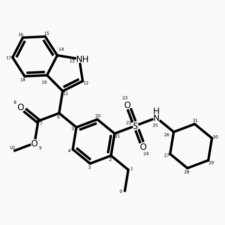 CCc1ccc(C(C(=O)OC)c2c[nH]c3ccccc23)cc1S(=O)(=O)NC1CCCCC1